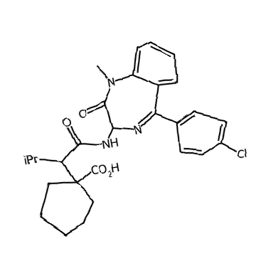 CC(C)C(C(=O)NC1N=C(c2ccc(Cl)cc2)c2ccccc2N(C)C1=O)C1(C(=O)O)CCCCC1